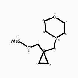 CSOCC1(CN2CCOCC2)CC1